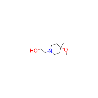 COC1(C)CCN(CCO)CC1